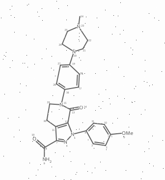 COc1ccc(-n2nc(C(N)=O)c3c2C(=O)N(c2ccc(N4CCN(C)CC4)cc2)CC3)cc1